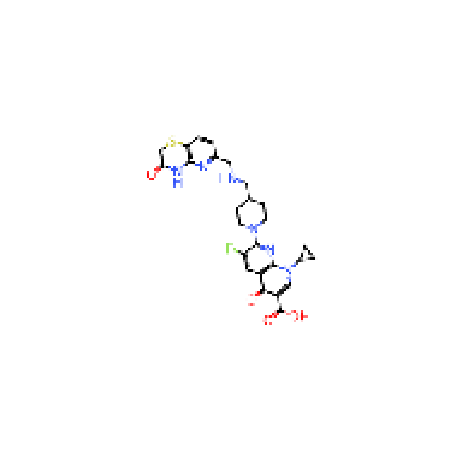 O=C1CSc2ccc(CNCC3CCN(c4nc5c(cc4F)c(=O)c(C(=O)O)cn5C4CC4)CC3)nc2N1